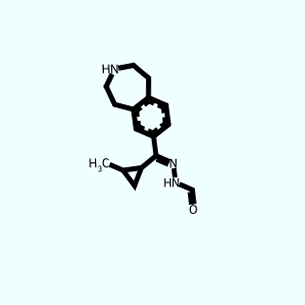 CC1CC1/C(=N\NC=O)c1ccc2c(c1)CCNCC2